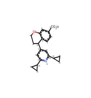 O=C(O)c1ccc2c(c1)OCCC2c1cc(C2CC2)nc(C2CC2)c1